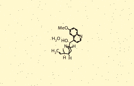 C=C[C@H]1C[N@]2CC[C@H]1C[C@H]2[C@H](O)c1ccnc2ccc(OC)cc12.O